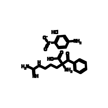 Cl.N=C(N)NCCC[C@](N)(C(=O)O)C(=O)c1ccccc1.Nc1ccc([N+](=O)[O-])cc1